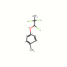 FC(Oc1ccc(C(F)(F)F)cc1)C(F)(F)C(F)(F)F